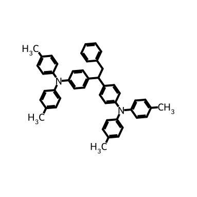 Cc1ccc(N(c2ccc(C)cc2)c2ccc(C(Cc3ccccc3)c3ccc(N(c4ccc(C)cc4)c4ccc(C)cc4)cc3)cc2)cc1